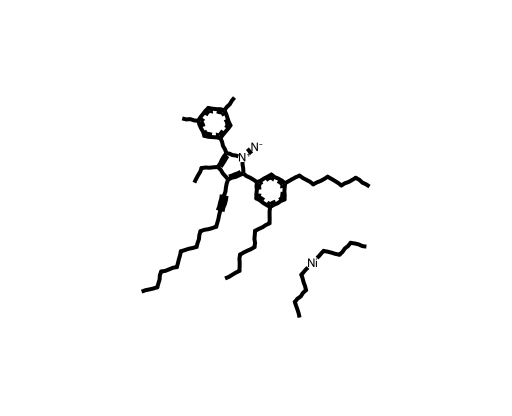 CCCCCCCCC#CC1=C(c2cc(CCCCCC)cc(CCCCCC)c2)[N+](=[N-])C(c2cc(C)cc(C)c2)=C1CC.CCC[CH2][Ni][CH2]CCC